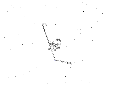 CCCCCCCC/C=C\CCCCCCC(C(=O)CCCCCCCCCCCCCCCCC)C(=O)C(OP(=O)(O)OCCN)[C@@H](O)CO